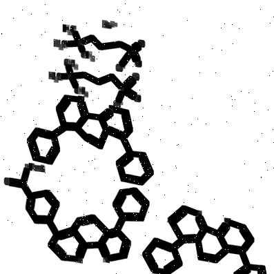 CCCCCC(=O)c1ccc(-c2ccnc3c2ccc2c(-c4ccccc4)ccnc23)cc1.C[Si](C)(C)CCCS(=O)(=O)[O-].C[Si](C)(C)CCCS(=O)(=O)[O-].[Ru+2].c1ccc(-c2ccnc3c2ccc2c(-c4ccccc4)ccnc23)cc1.c1ccc(-c2ccnc3c2ccc2c(-c4ccccc4)ccnc23)cc1